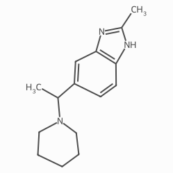 Cc1nc2cc(C(C)N3CCCCC3)ccc2[nH]1